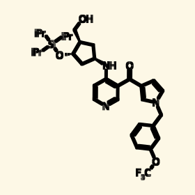 CC(C)[Si](O[C@H]1C[C@H](Nc2ccncc2C(=O)c2ccn(Cc3cccc(OC(F)(F)F)c3)c2)C[C@@H]1CO)(C(C)C)C(C)C